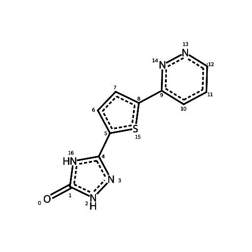 O=c1[nH]nc(-c2ccc(-c3cc[c]nn3)s2)[nH]1